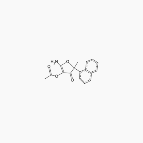 CC(=O)OC1=C(N)OC(C)(c2cccc3ccccc23)C1=O